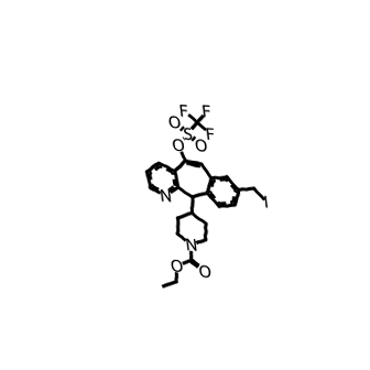 CCOC(=O)N1CCC(C2c3ccc(CI)cc3C=C(OS(=O)(=O)C(F)(F)F)c3cccnc32)CC1